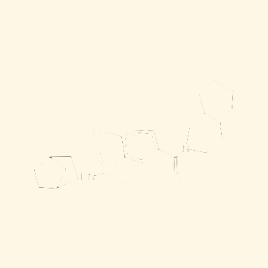 Cc1ccc(C(=O)N2CCC3CCCCC3C2)cc1S(=O)(=O)NC1CC2CCC1C2